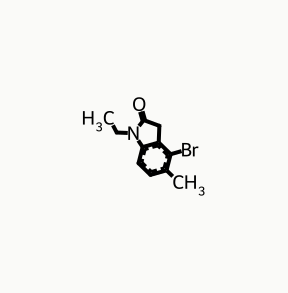 CCN1C(=O)Cc2c1ccc(C)c2Br